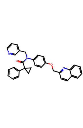 O=C(N(Cc1cccnc1)c1ccc(OCc2ccc3ccccc3n2)cc1)C1(c2ccccc2)CC1